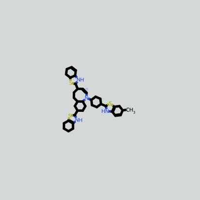 CC1C=CC2=C(C1)SC(C1CCC(N3/C=C\C(C4NC5C=CCCC5S4)CCC4CC(C5NC6=C(CCCC6)S5)CCC43)CC1)N2